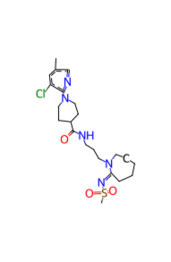 Cc1cnc(N2CCC(C(=O)NCCCN3CCCCC/C3=N\S(C)(=O)=O)CC2)c(Cl)c1